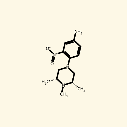 C[C@@H]1CN(c2ccc(N)cc2[N+](=O)[O-])C[C@H](C)N1C